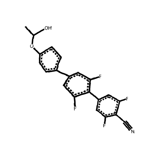 CC(O)Oc1ccc(-c2cc(F)c(-c3cc(F)c(C#N)c(F)c3)c(F)c2)cc1